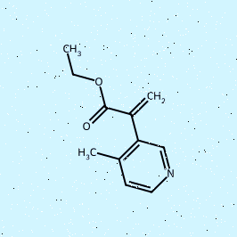 C=C(C(=O)OCC)c1cnccc1C